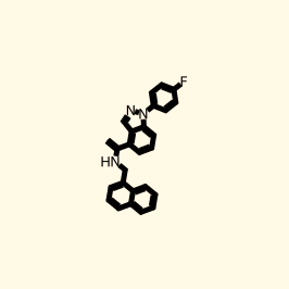 C=C(NCc1cccc2ccccc12)c1cccc2c1cnn2-c1ccc(F)cc1